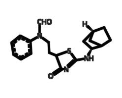 O=CN(CCC1SC(N[C@H]2C[C@@H]3CCC2C3)=NC1=O)c1ccccc1